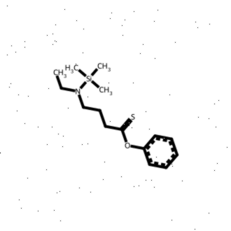 CCN(CCCC(=S)Oc1ccccc1)[Si](C)(C)C